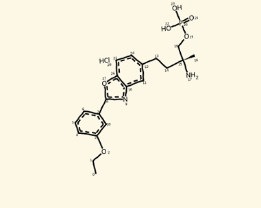 CCOc1cccc(-c2nc3cc(CC[C@@](C)(N)COP(=O)(O)O)ccc3o2)c1.Cl